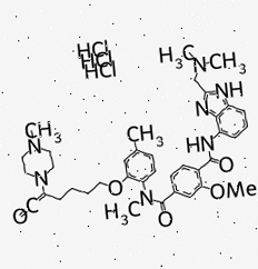 COc1cc(C(=O)N(C)c2ccc(C)cc2OCCCCC(=C=O)N2CCN(C)CC2)ccc1C(=O)Nc1cccc2[nH]c(CN(C)C)nc12.Cl.Cl.Cl